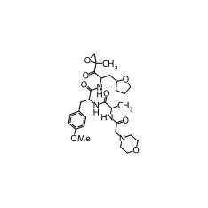 COc1ccc(CC(NC(=O)C(C)NC(=O)CN2CCOCC2)C(=O)NC(CC2CCCO2)C(=O)C2(C)CO2)cc1